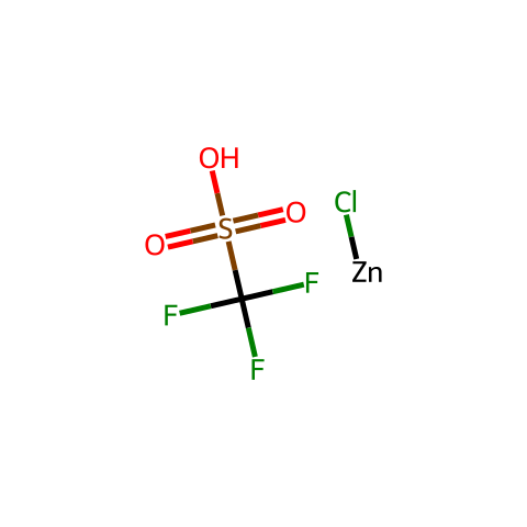 O=S(=O)(O)C(F)(F)F.[Cl][Zn]